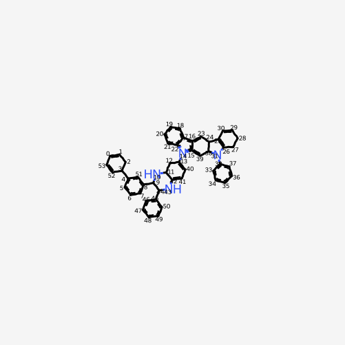 C1=CCC(c2cccc(C3NC4CC(n5c6c(c7ccccc75)=CC5C7=C(CCC=C7)N(c7ccccc7)C5C=6)=CC=C4NC3c3ccccc3)c2)C=C1